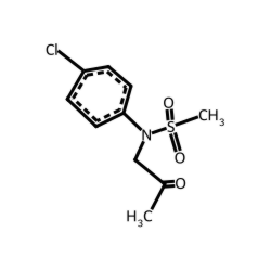 CC(=O)CN(c1ccc(Cl)cc1)S(C)(=O)=O